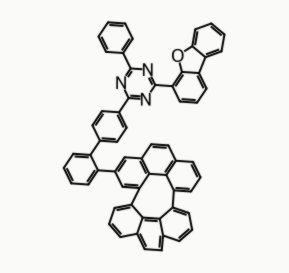 c1ccc(-c2nc(-c3ccc(-c4ccccc4-c4cc5ccc6cccc7c8cccc9ccc%10cccc(c(c4)c5c67)c%10c98)cc3)nc(-c3cccc4c3oc3ccccc34)n2)cc1